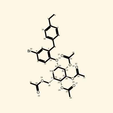 CCc1ccc(Cc2cc(Br)ccc2O[C@H]2S[C@@H](COC(C)=O)[C@@H](OC(C)=O)[C@H](OC(C)=O)[C@H]2OC(C)=O)cc1